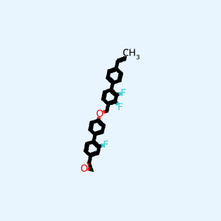 C/C=C/c1ccc(-c2ccc(COc3ccc(-c4ccc(C5CO5)cc4F)cc3)c(F)c2F)cc1